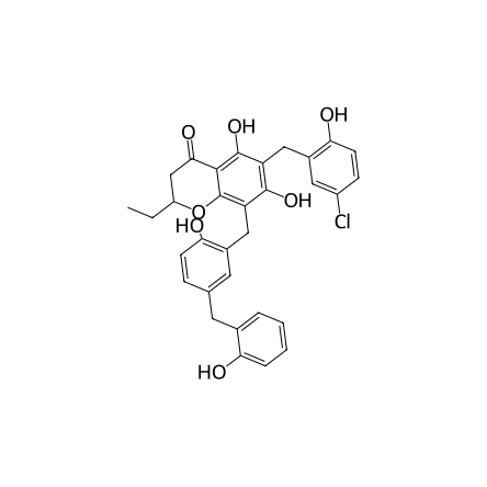 CCC1CC(=O)c2c(O)c(Cc3cc(Cl)ccc3O)c(O)c(Cc3cc(Cc4ccccc4O)ccc3O)c2O1